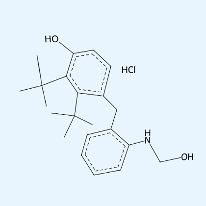 CC(C)(C)c1c(O)ccc(Cc2ccccc2NCO)c1C(C)(C)C.Cl